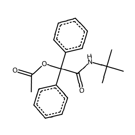 CC(=O)OC(C(=O)NC(C)(C)C)(c1ccccc1)c1ccccc1